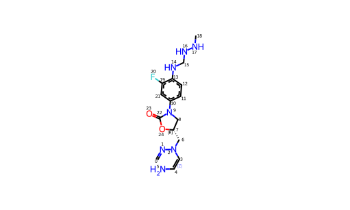 C=NN(/C=C\N)C[C@H]1CN(c2ccc(NCNNC)c(F)c2)C(=O)O1